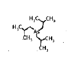 CC(C)C[As](CC(C)C)CC(C)C